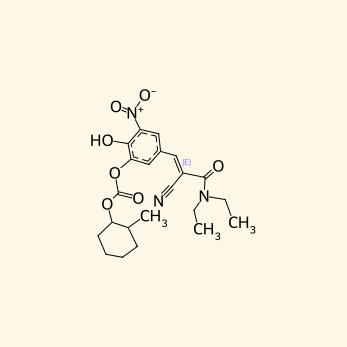 CCN(CC)C(=O)/C(C#N)=C/c1cc(OC(=O)OC2CCCCC2C)c(O)c([N+](=O)[O-])c1